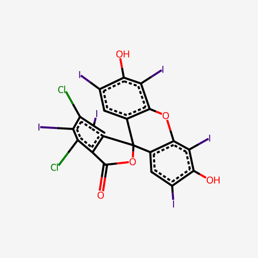 O=C1OC2(c3cc(I)c(O)c(I)c3Oc3c2cc(I)c(O)c3I)c2c(I)c(Cl)c(I)c(Cl)c21